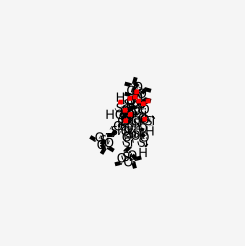 CCO[Si](CC[Si](C)(C)O[Si]12O[SiH](O[SiH](C)C)O[Si]3(O[SiH](C)C)O[Si]4(O[SiH](C)C)O[Si](O)(O[SiH](C)C)O[Si](O[Si](C)(C)CC[Si](OCC)(OCC)OCC)(O1)O[Si](O[Si](C)(C)CC[Si](OCC)(OCC)OCC)(O4)O[Si](O[Si](C)(C)CC[Si](OCC)(OCC)OCC)(O3)O2)(OCC)OCC